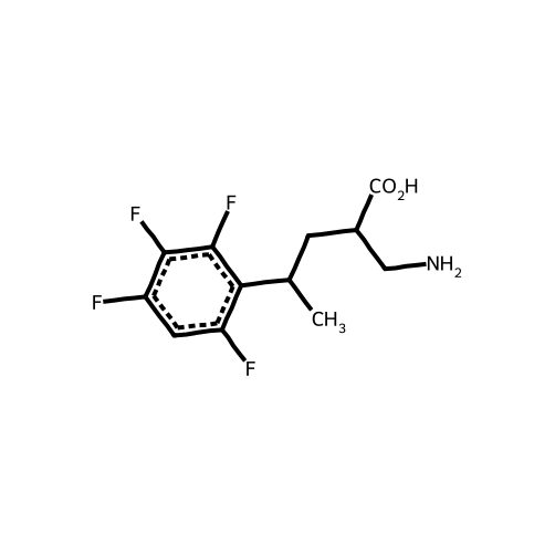 CC(CC(CN)C(=O)O)c1c(F)cc(F)c(F)c1F